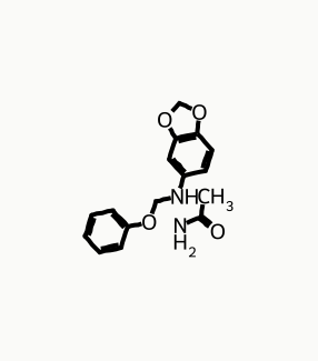 CC(N)=O.c1ccc(OCNc2ccc3c(c2)OCO3)cc1